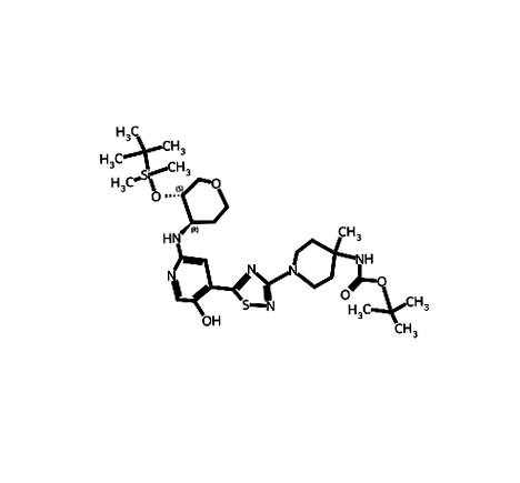 CC1(NC(=O)OC(C)(C)C)CCN(c2nsc(-c3cc(N[C@@H]4CCOC[C@H]4O[Si](C)(C)C(C)(C)C)ncc3O)n2)CC1